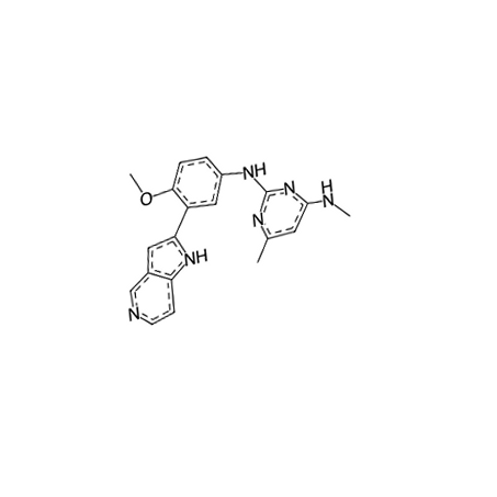 CNc1cc(C)nc(Nc2ccc(OC)c(-c3cc4cnccc4[nH]3)c2)n1